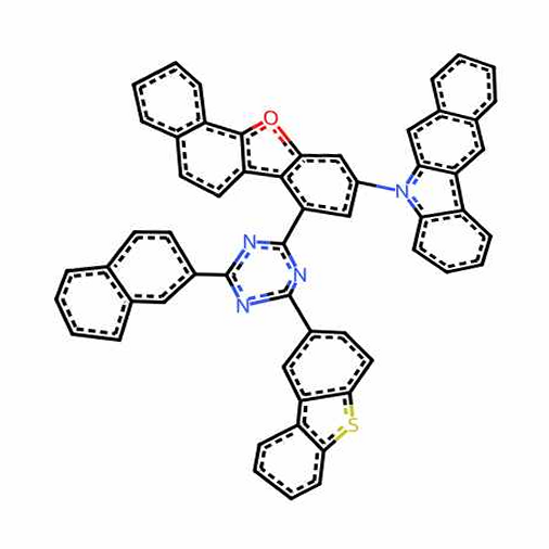 c1ccc2cc(-c3nc(-c4ccc5sc6ccccc6c5c4)nc(-c4cc(-n5c6ccccc6c6cc7ccccc7cc65)cc5oc6c7ccccc7ccc6c45)n3)ccc2c1